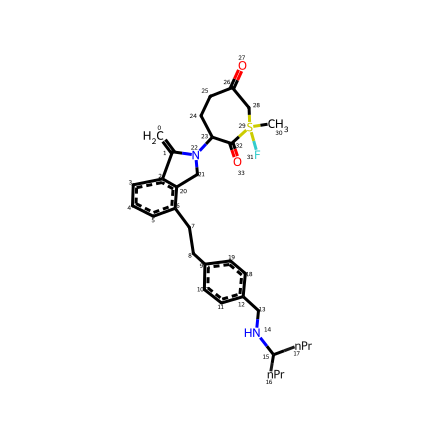 C=C1c2cccc(CCc3ccc(CNC(CCC)CCC)cc3)c2CN1C1CCC(=O)CS(C)(F)C1=O